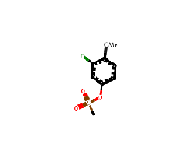 COc1ccc(OS(C)(=O)=O)cc1F